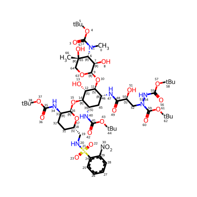 CN(C(=O)OC(C)(C)C)[C@@H]1[C@@H](O)[C@@H](O[C@@H]2[C@@H](O)[C@H](O[C@H]3O[C@H](CNS(=O)(=O)c4ccccc4[N+](=O)[O-])CC[C@H]3NC(=O)OC(C)(C)C)[C@@H](NC(=O)OC(C)(C)C)C[C@H]2NC(=O)[C@@H](O)CN(NC(=O)OC(C)(C)C)C(=O)OC(C)(C)C)OC[C@]1(C)O